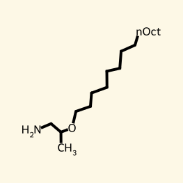 CCCCCCCCCCCCCCCCOC(C)CN